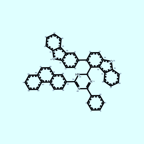 c1ccc(C2=NC(c3c(-c4ccc5oc6ccccc6c5c4)ccc4oc5ccccc5c34)NC(c3ccc4c(ccc5ccccc54)c3)=N2)cc1